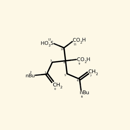 C=C(CCCC)CC(CC(=C)CCCC)(C(=O)O)C(C(=O)O)S(=O)(=O)O